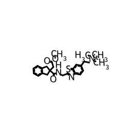 COC(=O)CC1(C(=O)NCc2nc3ccc(CC[N+](C)(C)C)cc3s2)Cc2ccccc2C1